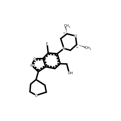 C[C@@H]1CN(c2c(CO)cc3c(C4CCOCC4)noc3c2F)C[C@H](C)O1